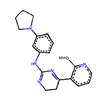 COc1ncccc1C1=NC(Nc2cccc(N3CCCC3)c2)=NCC1